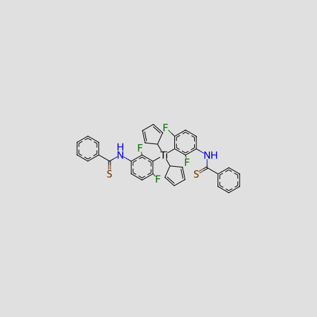 Fc1ccc(NC(=S)c2ccccc2)c(F)[c]1[Ti]([c]1c(F)ccc(NC(=S)c2ccccc2)c1F)([CH]1C=CC=C1)[CH]1C=CC=C1